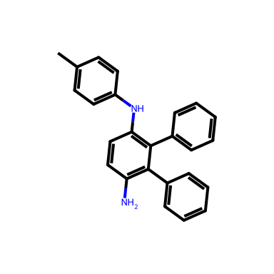 Cc1ccc(Nc2ccc(N)c(-c3ccccc3)c2-c2ccccc2)cc1